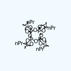 CCC[Si](C)(C)OP1(=O)OP(=O)(O[Si](C)(C)CCC)OP(=O)(O[Si](C)(C)CCC)OP(=O)(O[Si](C)(C)CCC)O1